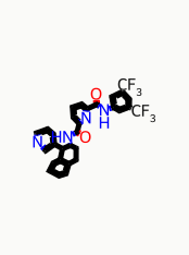 O=C(Nc1cc(C(F)(F)F)cc(C(F)(F)F)c1)c1cccc(C(=O)NC2CCc3ccccc3C2c2cccnc2)n1